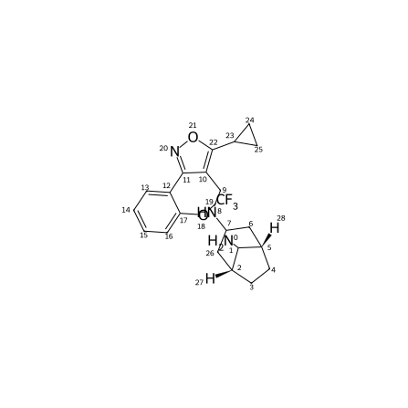 NC1[C@@H]2CC[C@H]1CC(NCc1c(-c3ccccc3OC(F)(F)F)noc1C1CC1)C2